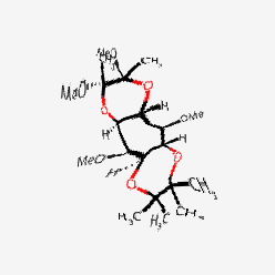 CO[C@@H]1[C@@H]2OC(C)(C)C(C)(C)O[C@H]2[C@H](OC)[C@H]2O[C@](C)(OC)[C@@](C)(OC)O[C@H]12